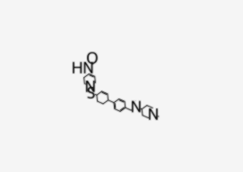 CN1CCC(N(C)Cc2ccc(C3C=CC(SN4CC=C(NC=O)CC4)CC3)cc2)CC1